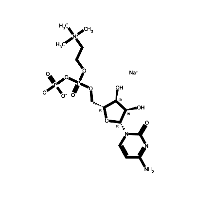 C[N+](C)(C)CCOP(=O)(OC[C@H]1O[C@@H](n2ccc(N)nc2=O)[C@H](O)[C@@H]1O)OP(=O)([O-])[O-].[Na+]